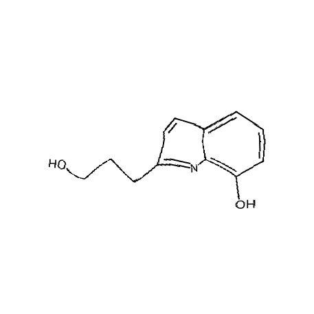 OCCCc1ccc2cccc(O)c2n1